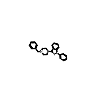 c1ccc(CN2CCN(c3nn(-c4ccccc4)c4ccccc34)CC2)cc1